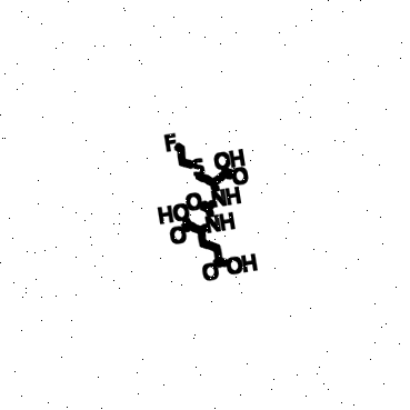 O=C(O)CCC(NC(=O)NC(CSCCF)C(=O)O)C(=O)O